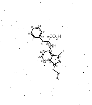 C=CCn1cc(I)c2c(N[C@H](Cc3ccccc3)C(=O)O)ncnc21